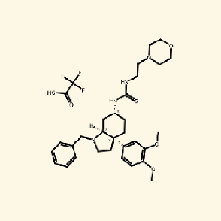 COc1ccc([C@@]23CC[C@@H](NC(=S)NCCN4CCOCC4)C[C@@H]2N(Cc2ccccc2)CC3)cc1OC.O=C(O)C(F)(F)F